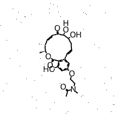 CC(=O)N(C)CCOc1cc(O)c2c(c1)/C=C/C[C@H](O)[C@H](O)C(=O)/C=C\[C@@H](C)[C@H](C)OC2=O